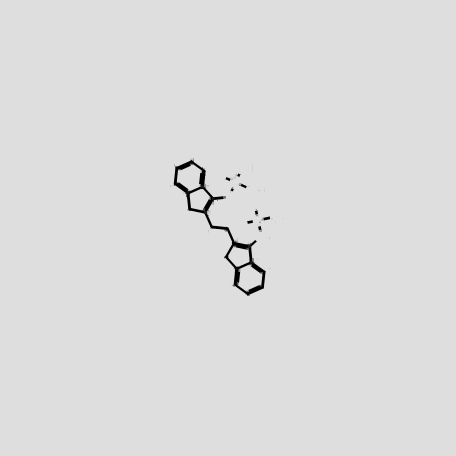 CC(C)(C)[Si](C)(C)OC1=C(CCC2=C(O[Si](C)(C)C(C)(C)C)c3ccccc3[CH]2)[CH]c2ccccc21